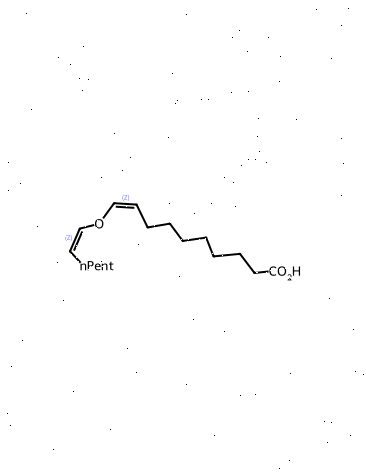 CCCCC/C=C\O/C=C\CCCCCCCC(=O)O